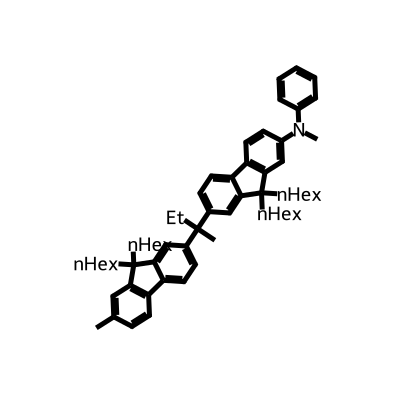 CCCCCCC1(CCCCCC)c2cc(C)ccc2-c2ccc(C(C)(CC)c3ccc4c(c3)C(CCCCCC)(CCCCCC)c3cc(N(C)c5ccccc5)ccc3-4)cc21